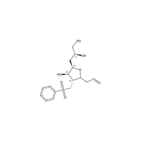 C=CCC1O[C@H](C[C@H](O)CO)[C@H](O)[C@H]1CS(=O)(=O)c1ccccc1